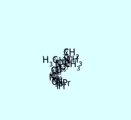 C=C/C=C(/c1cc(C)nc2c(OCc3c(Cl)cncc3CN(C(=O)C(C)C)C(C)C)cccc12)N(C)C